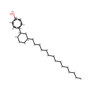 CCCCCCCCCCCCCCCC1CCCC(c2ccc(O)cc2)C1